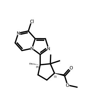 COC(=O)[C@H]1CC[C@@](C)(c2ncc3c(Cl)nccn23)C1(C)C